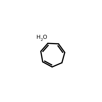 C1=CC=CCC=C1.O